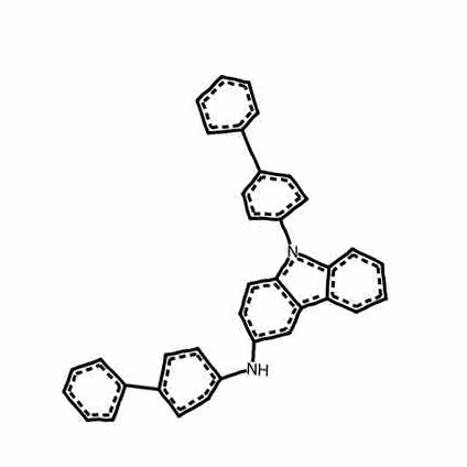 c1ccc(-c2ccc(Nc3ccc4c(c3)c3ccccc3n4-c3ccc(-c4ccccc4)cc3)cc2)cc1